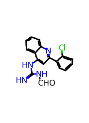 N=C(NC=O)Nc1cc(-c2ccccc2Cl)nc2ccccc12